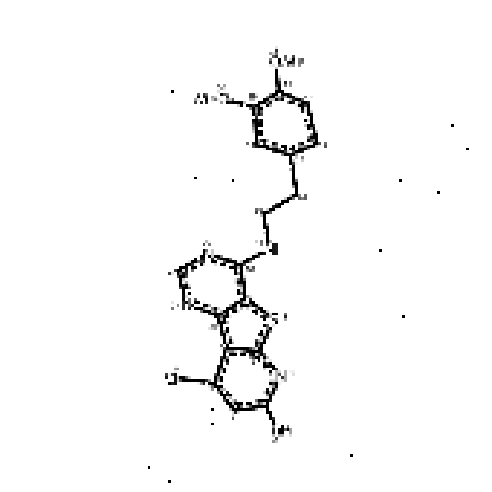 CCCc1cc(Cl)c2c(n1)sc1c(NCCc3ccc(OC)c(OC)c3)ncnc12